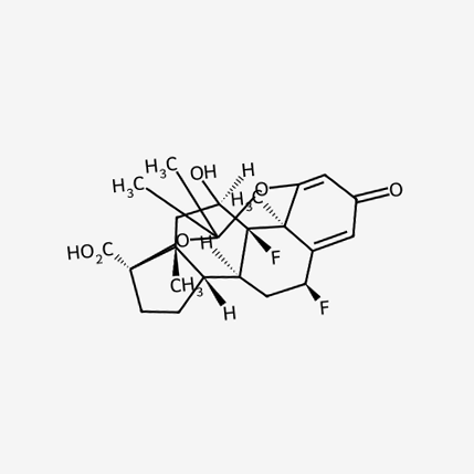 CC1(C)OC2=CC(=O)C=C3[C@@H](F)C[C@H]4[C@@H]5CC[C@@](C(=O)O)(O1)[C@]5(C)C[C@@H](O)[C@]4(F)[C@@]23C